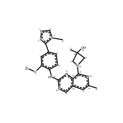 CCOc1cc(-c2nncn2C)ccc1Nc1ncc2cc(C)nc(N3CC(C)(O)C3)c2n1